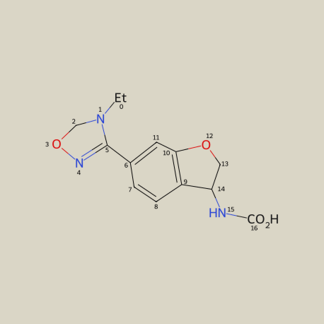 CCN1CON=C1c1ccc2c(c1)OCC2NC(=O)O